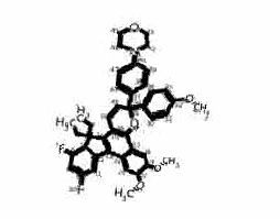 CCC1(CC)c2c(F)cc(F)cc2-c2c1c1c(c3cc(OC)c(OC)cc23)OC(c2ccc(OC)cc2)(c2ccc(N3CCOCC3)cc2)C=C1